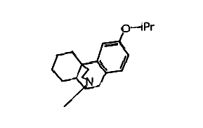 CC(C)Oc1ccc2c(c1)C13CCCCC1C(C2)N(C)CC3